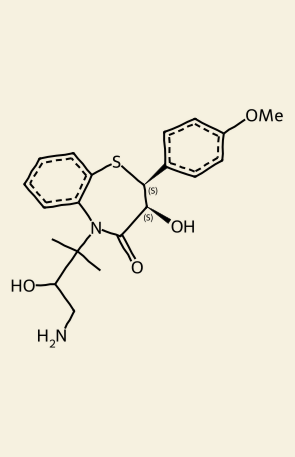 COc1ccc([C@@H]2Sc3ccccc3N(C(C)(C)C(O)CN)C(=O)[C@@H]2O)cc1